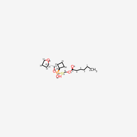 CCCCCC(=O)OCSP(O)(OC[C@@H]1CCCO1)=C1CCC1